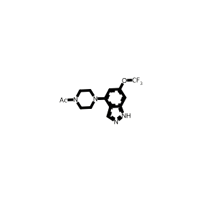 CC(=O)N1CCN(c2cc(OC(F)(F)F)cc3[nH]ncc23)CC1